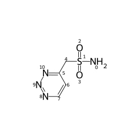 NS(=O)(=O)Cc1ccnnn1